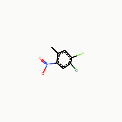 Cc1cc(F)c(Cl)cc1[N+](=O)[O-]